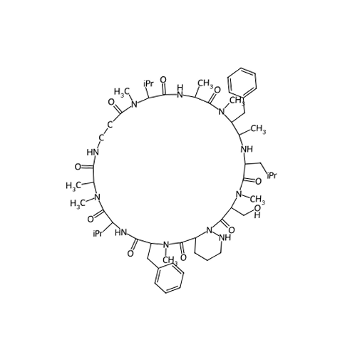 CC(C)CC1NC(C)C(Cc2ccccc2)N(C)C(=O)C(C)NC(=O)C(C(C)C)N(C)C(=O)CCNC(=O)C(C)N(C)C(=O)C(C(C)C)NC(=O)C(Cc2ccccc2)N(C)C(=O)C2CCCNN2C(=O)C(CO)N(C)C1=O